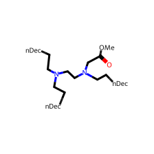 CCCCCCCCCCCCN(CCCCCCCCCCCC)CCN(CCCCCCCCCCCC)CC(=O)OC